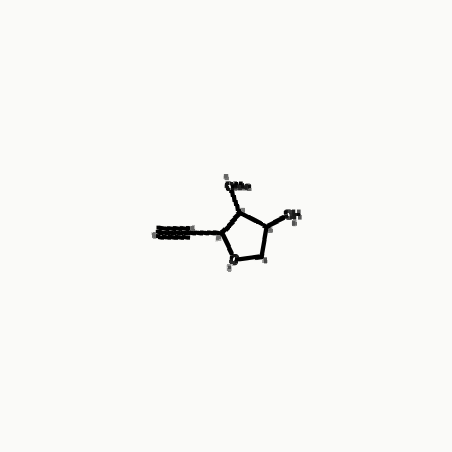 C#CC1OCC(O)C1OC